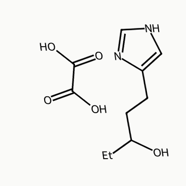 CCC(O)CCc1c[nH]cn1.O=C(O)C(=O)O